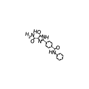 NC(=O)c1nc(-c2ccc(C(=O)Nc3ccccc3)cc2)[nH]c1O